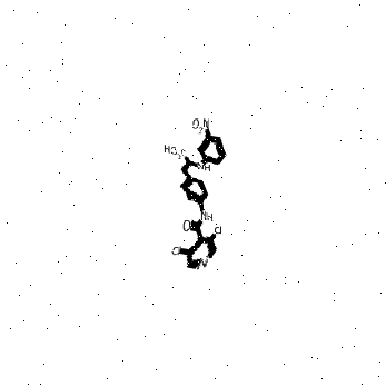 O=C(Nc1ccc(CC(Nc2cccc([N+](=O)[O-])c2)C(=O)O)cc1)c1c(Cl)cncc1Cl